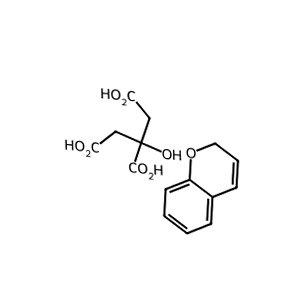 C1=Cc2ccccc2OC1.O=C(O)CC(O)(CC(=O)O)C(=O)O